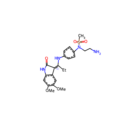 CC/C(Nc1ccc(N(CCN)S(C)(=O)=O)cc1)=C1/C(=O)Nc2cc(OC)c(OC)cc21